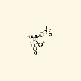 Cc1cc(-c2cc(Cl)ccc2[C@@H](Oc2cc(N3CCC4(CC3)CNC(C(=O)O)C4)nc(N)n2)C(F)(F)F)ccc1F